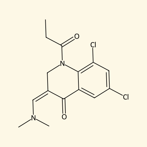 CCC(=O)N1C/C(=C/N(C)C)C(=O)c2cc(Cl)cc(Cl)c21